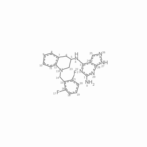 Nc1nc(NC2Cc3ccccc3N(Cc3c(F)cccc3F)C2)c2cn[nH]c2n1